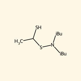 CCC(C)N(SC(C)S)C(C)CC